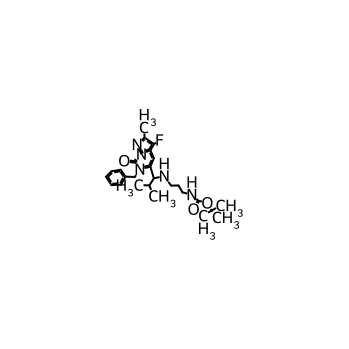 Cc1nn2c(=O)n(Cc3ccccc3)c(C(NCCCNC(=O)OC(C)(C)C)C(C)C)cc2c1F